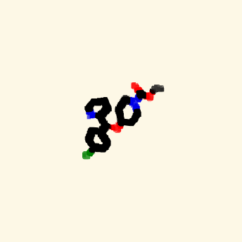 CC(C)(C)OC(=O)N1CCC(O[C@@H](c2ccc(Cl)cc2)c2ccccn2)CC1